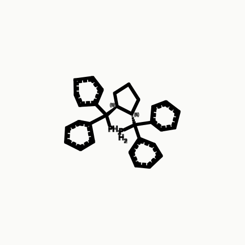 PC(c1ccccc1)(c1ccccc1)[C@H]1CCC[C@@H]1C(P)(c1ccccc1)c1ccccc1